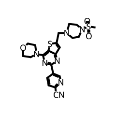 CS(=O)(=O)N1CCN(Cc2cc3nc(-c4ccc(C#N)nc4)nc(N4CCOCC4)c3s2)CC1